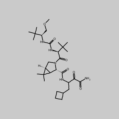 COC[C@@H](NC(=O)N[C@H](C(=O)N1C[C@H]2C([C@H]1C(=O)NC(CC1CCC1)C(=O)C(N)=O)C2(C)C)C(C)(C)C)C(C)(C)C